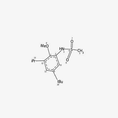 COc1c(NS(C)(=O)=O)cc(C(C)(C)C)cc1C(C)C